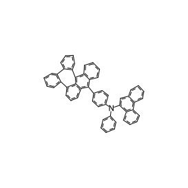 c1ccc(N(c2ccc(-c3c4ccccc4c4c5c(cccc35)-c3ccccc3-c3ccccc3-4)cc2)c2cc3ccccc3c3ccccc23)cc1